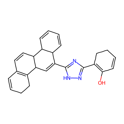 OC1=C(c2n[nH]c(C3=CC4C5=C(C=CCC5)C=CC4C4C=CC=CC34)n2)CCC=C1